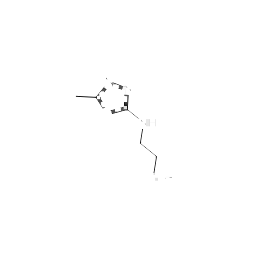 CCCCCCCNc1nnc(C)s1